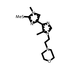 CSc1nc(-c2ncn(CCN3CCOCC3)c2C)[c]n1C